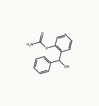 NC(=O)Oc1cnccc1C(O)c1ccccc1